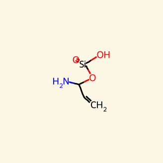 C=CC(N)O[Si](=O)O